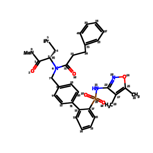 CNC(=O)[C@H](CC(C)C)N(Cc1ccc(-c2ccccc2S(=O)(=O)Nc2noc(C)c2C)cc1)C(=O)CCc1ccccc1